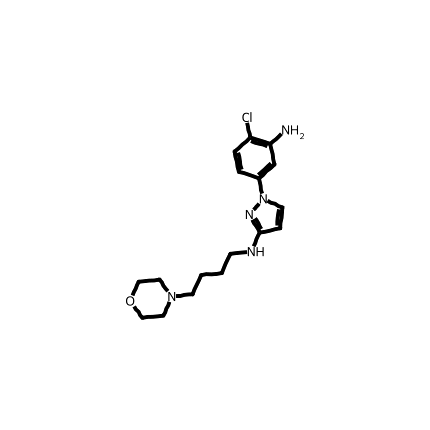 Nc1cc(-n2ccc(NCCCCN3CCOCC3)n2)ccc1Cl